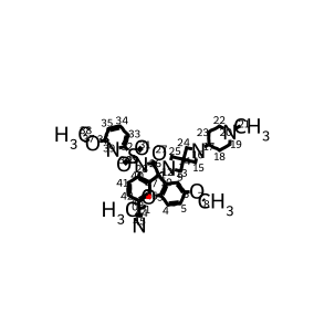 CCOc1ccc(OC)cc1[C@]1(N2CC3(CN(C4CCN(C)CC4)C3)C2)C(=O)N(S(=O)(=O)c2cccc(OC)n2)c2ccc(C#N)cc21